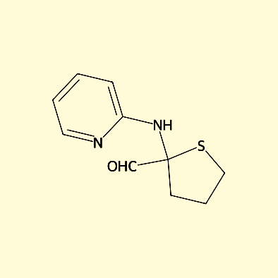 O=CC1(Nc2ccccn2)CCCS1